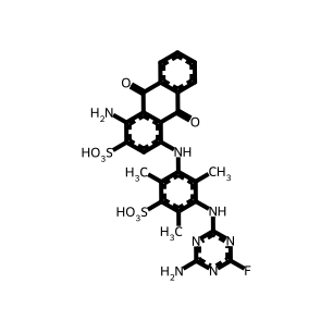 Cc1c(Nc2nc(N)nc(F)n2)c(C)c(S(=O)(=O)O)c(C)c1Nc1cc(S(=O)(=O)O)c(N)c2c1C(=O)c1ccccc1C2=O